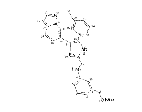 COCc1cccc(NCc2nc(-c3ccc4ncnn4c3)c(-c3cccc(C)n3)[nH]2)c1